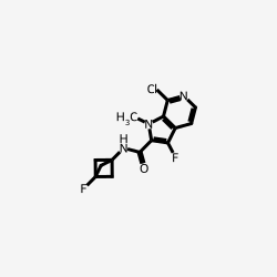 Cn1c(C(=O)NC23CC(F)(C2)C3)c(F)c2ccnc(Cl)c21